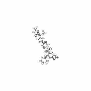 Cn1cc2cc(NC(=O)c3cnc(N4CC[C@@H](N(C(=O)OC(C)(C)C)C5CC5)C4)cn3)c(OC3CCOCC3)cc2n1